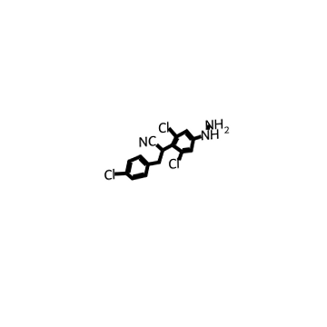 N#CC(Cc1ccc(Cl)cc1)c1c(Cl)cc(NN)cc1Cl